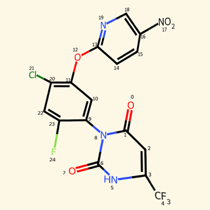 O=c1cc(C(F)(F)F)[nH]c(=O)n1-c1cc(Oc2ccc([N+](=O)[O-])cn2)c(Cl)cc1F